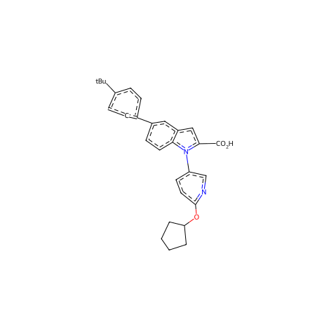 CC(C)(C)c1ccc(-c2ccc3c(c2)cc(C(=O)O)n3-c2ccc(OC3CCCC3)nc2)cc1